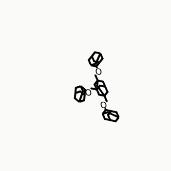 C1C2CC3CC1CC(C2)C3OCC12CC3CC(COC4C5CC6CC(C5)CC4C6)(C1)CC(COC1C4CC5CC(C4)CC1C5)(C3)C2